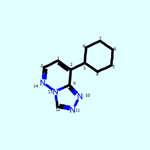 [c]1cc(C2CCCCC2)c2nncn2n1